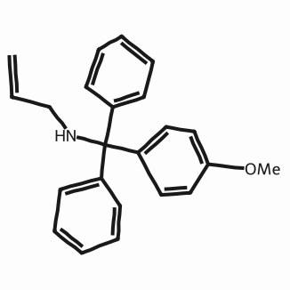 C=CCNC(c1ccccc1)(c1ccccc1)c1ccc(OC)cc1